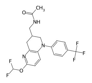 CC(=O)NCC1Cc2nc(OC(F)F)ccc2N(c2ccc(C(F)(F)F)cc2)C1